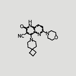 N#Cc1c(N2CCC3(CCC3)CC2)c2nc(N3CCOCC3)ccc2[nH]c1=O